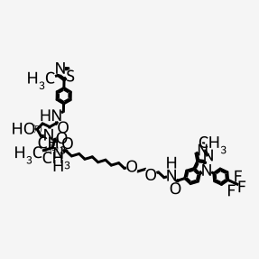 Cc1ncsc1-c1ccc(CNC(=O)C2C[C@@H](O)CN2C(=O)[C@@H](NC(=O)CCCCCCCCCOCCOCCNC(=O)c2ccc3c(c2)c2cn(C)nc2n3-c2ccc(C(F)(F)F)cc2)C(C)(C)C)cc1